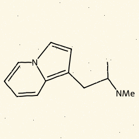 CNC(C)Cc1ccn2ccccc12